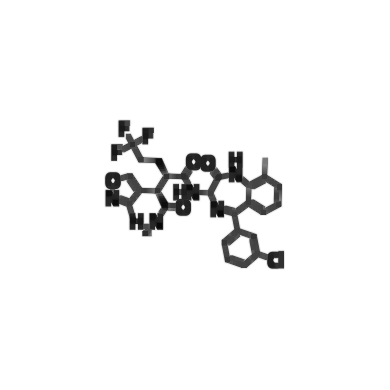 Cc1cccc2c1NC(=O)C(NC(=O)[C@H](CCC(F)(F)F)[C@@H](C(N)=O)c1conc1C)N=C2c1cccc(Cl)c1